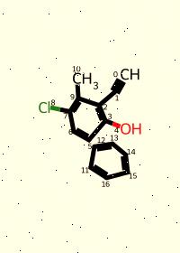 C#Cc1c(O)ccc(Cl)c1C.c1ccccc1